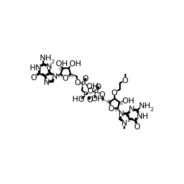 COCCOC1[C@@H](COP(=O)(O)OP(=O)(O)CP(=O)(O)OC[C@H]2O[C@@H](n3cnc4c(=O)[nH]c(N)nc43)[C@@H](O)C2O)O[C@@H](n2c[n+](C)c3c(=O)[nH]c(N)nc32)[C@H]1O